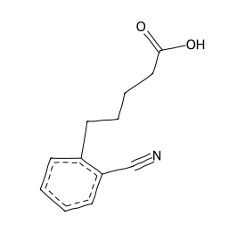 N#Cc1ccccc1CCCCC(=O)O